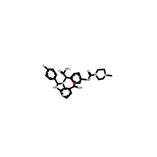 CN1CCN(C(=O)Nc2ccc(C(C(N)=O)N3c4c(C(=O)O)ccnc4NC3c3ccc(F)cc3)cc2)CC1